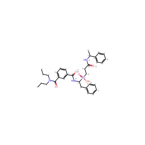 CCCN(CCC)C(=O)c1cccc(C(=O)NC(Cc2ccccc2)P(=O)(O)CCC(=O)NC(C)c2ccccc2)c1